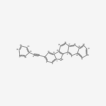 C(#Cc1ccc2oc3c4cc5ccccc5cc4ccc3c2c1)c1ccccc1